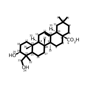 CC1(C)CC[C@]2(C(=O)O)CC[C@]3(C)C(=CC[C@@H]4[C@@]5(C)CC[C@H](O)C(C)(CO)C5CC[C@]43C)[C@H]2C1